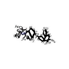 C=N/N=C(/[C@@H](CC(=O)O)c1ccc(OCc2ccc3c(c2)C(CC)(CC)CCC3(C)C)cc1)N(C)N